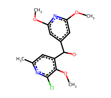 COc1cc(C([O])c2cc(C)nc(Cl)c2OC)cc(OC)n1